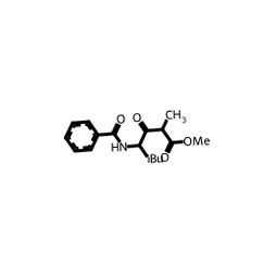 CCC(C)C(NC(=O)c1ccccc1)C(=O)C(C)C(=O)OC